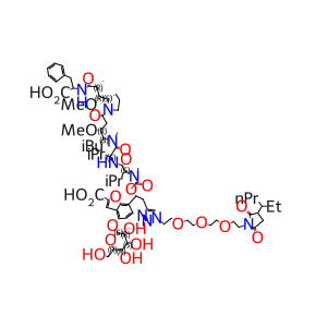 CCCC(CC)C1CC(=O)N(CCOCCOCCOCCn2cc(CC(OC(=O)N(C)[C@H](C(=O)N[C@H](C(=O)N(C)[C@@H](C(C)CC)[C@@H](CC(=O)N3CCC[C@H]3[C@H](OC)[C@@H](C)C(=O)NC(Cc3ccccc3)C(=O)O)OC)C(C)C)C(C)C)c3ccc(O[C@@H]4O[C@H](CO)[C@H](O)[C@H](O)[C@H]4O)c4cc(C(=O)O)oc34)nn2)C1=O